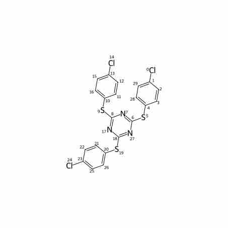 Clc1ccc(Sc2nc(Sc3ccc(Cl)cc3)nc(Sc3ccc(Cl)cc3)n2)cc1